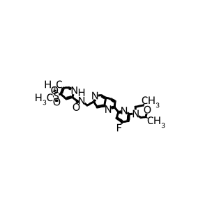 Cc1cnc(C(=O)NCc2cc3nc(-c4cc(F)cc(N5C[C@@H](C)O[C@@H](C)C5)n4)ccc3cn2)cc1S(C)(=O)=O